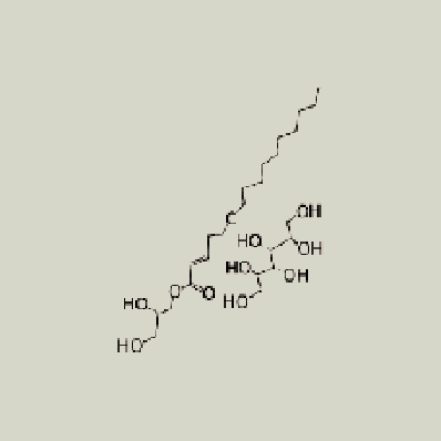 CCCCCCCCCCCCC/C=C/C(=O)OCC(O)CO.OC[C@@H](O)[C@@H](O)[C@H](O)[C@H](O)CO